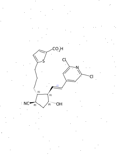 N#C[C@@H]1C[C@@H](O)[C@H](/C=C/c2cc(Cl)nc(Cl)c2)[C@H]1CCCc1ccc(C(=O)O)s1